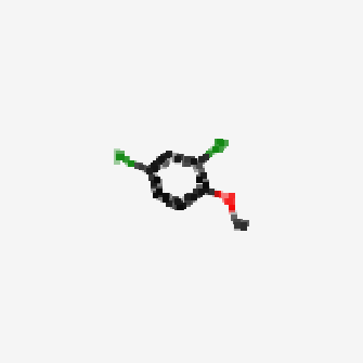 CC(C)Oc1ccc(F)cc1Br